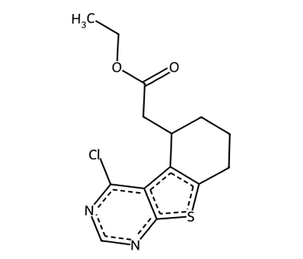 CCOC(=O)CC1CCCc2sc3ncnc(Cl)c3c21